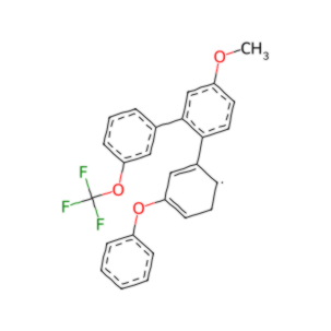 COc1ccc(C2=CC(Oc3ccccc3)=CC[CH]2)c(-c2cccc(OC(F)(F)F)c2)c1